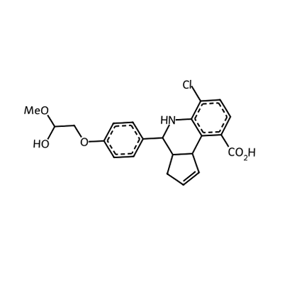 COC(O)COc1ccc(C2Nc3c(Cl)ccc(C(=O)O)c3C3C=CCC32)cc1